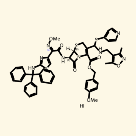 CO/N=C(\C(=O)N[C@@H]1C(=O)N2C(C(=O)OCc3ccc(OC)cc3)=C(C(NCc3c(C)noc3C)Sc3ccncc3)CS[C@H]12)c1csc(NC(c2ccccc2)(c2ccccc2)c2ccccc2)n1.I